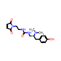 CN(C)[C@H](CNC(=O)NCCN1C(=O)C=CC1=O)Cc1ccc(O)cc1